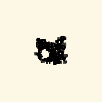 COc1ccc2c(O[C@@H]3C[C@H]4C(=O)N[C@]5(C(=O)NS(=O)(=O)C6(C)CC6)C[C@H]5C=CCC[C@@H](C)C[C@@H](C)[C@H](N(C(=O)O)[C@H](C)C(F)(F)F)C(=O)N4C3)nc(-c3ccc(OC(C)C)cc3)c(OC)c2c1